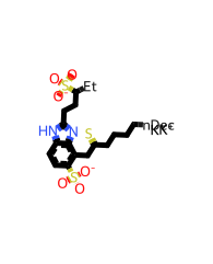 CCCCCCCCCCCCCCC(=S)Cc1c(S(=O)(=O)[O-])ccc2[nH]c(CCC(CC)S(=O)(=O)[O-])nc12.[K+].[K+]